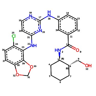 O=C(N[C@@H]1CCCC[C@H]1CO)c1cccc(Nc2nccc(Nc3c(Cl)ccc4c3OCO4)n2)c1